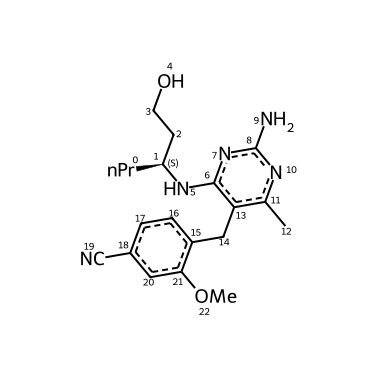 CCC[C@@H](CCO)Nc1nc(N)nc(C)c1Cc1ccc(C#N)cc1OC